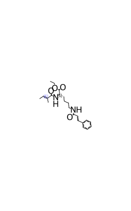 C/C=C(\C)C(=O)N[C@@H](CCCCNC(=O)C=Cc1ccccc1)C(=O)OCC